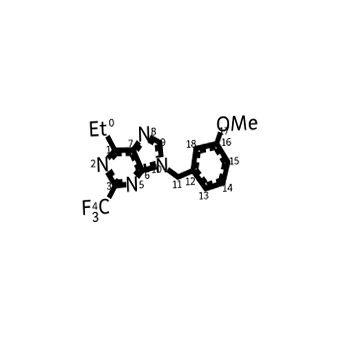 CCc1nc(C(F)(F)F)nc2c1ncn2Cc1cccc(OC)c1